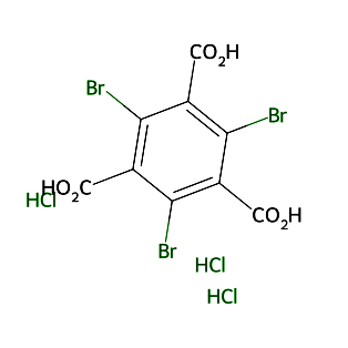 Cl.Cl.Cl.O=C(O)c1c(Br)c(C(=O)O)c(Br)c(C(=O)O)c1Br